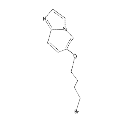 BrCCCCOc1ccc2nccn2c1